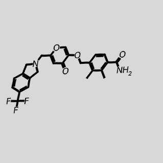 Cc1c(COc2coc(CN3Cc4ccc(C(F)(F)F)cc4C3)cc2=O)ccc(C(N)=O)c1C